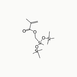 C=C(C)C(=O)OC[Si](C)(O[Si](C)(C)C)O[Si](C)(C)C